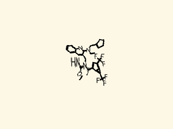 CCOC(=N)N(Cc1cc2ccccc2nc1N(CC)CC1CCCC1)[C@H](C)c1cc(C(F)(F)F)c2c(C(F)(F)F)c1-2